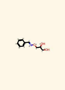 OCC(O)CON=Cc1ccccc1